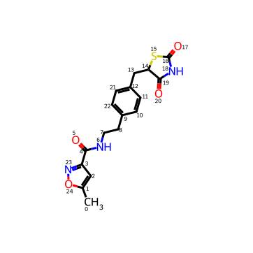 Cc1cc(C(=O)NCCc2ccc(CC3SC(=O)NC3=O)cc2)no1